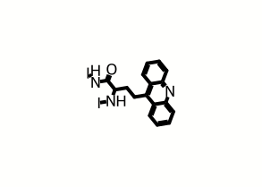 O=C(NI)C(CCc1c2ccccc2nc2ccccc12)NI